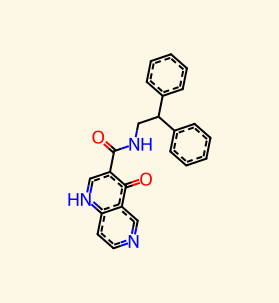 O=C(NCC(c1ccccc1)c1ccccc1)c1c[nH]c2ccncc2c1=O